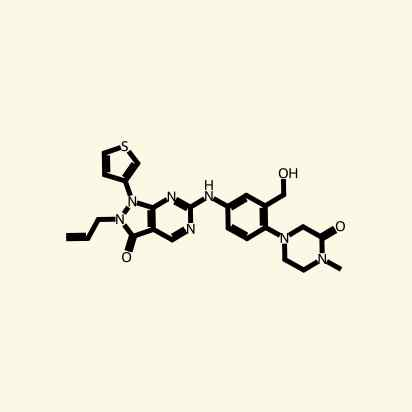 C=CCn1c(=O)c2cnc(Nc3ccc(N4CCN(C)C(=O)C4)c(CO)c3)nc2n1-c1ccsc1